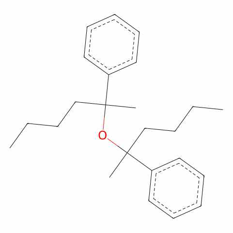 CCCCC(C)(OC(C)(CCCC)c1ccccc1)c1ccccc1